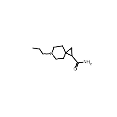 CCCN1CCC2(CC1)CC2C(N)=O